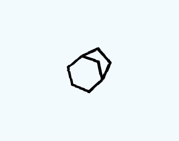 C1CC2CCC(C1)C2